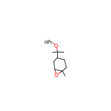 CCCOC(C)(C)C1CCC2(C)OC2C1